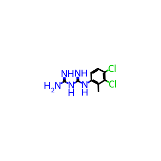 Cc1c(NC(=N)NC(=N)N)ccc(Cl)c1Cl